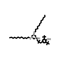 CCCCCCCCCCCCSN1CN(NCC(C)(C)Cc2cc(C(C)(C)C)c(O)c(C(C)(C)C)c2)CN(SCCCCCCCCCCCC)C1